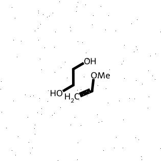 C=COC.OCCO